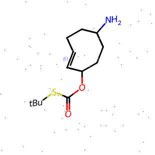 CC(C)(C)SC(=O)OC1/C=C/CCC(N)CC1